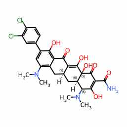 CN(C)c1cc(-c2ccc(Cl)c(Cl)c2)c(O)c2c1C[C@@H]1C[C@@H]3[C@H](N(C)C)C(O)=C(C(N)=O)C(=O)[C@@]3(O)C(O)=C1C2=O